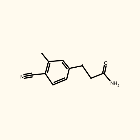 Cc1cc([CH]CC(N)=O)ccc1C#N